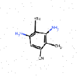 Cc1c(C#N)cc(N)c(C(C)(C)C)c1N